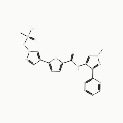 Cn1cc(NC(=O)c2ccc(-c3cnn(OP(C)(=O)O)c3)o2)c(-c2ccccn2)n1